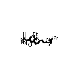 CCn1cc(-c2nnn[nH]2)c(=O)c2ccc(C=Cc3nc(C(C)C)cs3)nc21